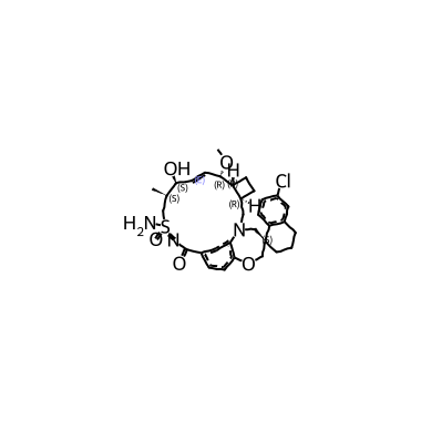 CO[C@H]1/C=C/[C@H](O)[C@H](C)CS(N)(=O)=NC(=O)c2ccc3c(c2)N(C[C@@H]2CC[C@H]21)C[C@@]1(CCCc2cc(Cl)ccc21)CO3